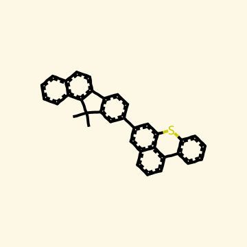 CC1(C)c2cc(-c3cc4c5c(cccc5c3)-c3ccccc3S4)ccc2-c2ccc3ccccc3c21